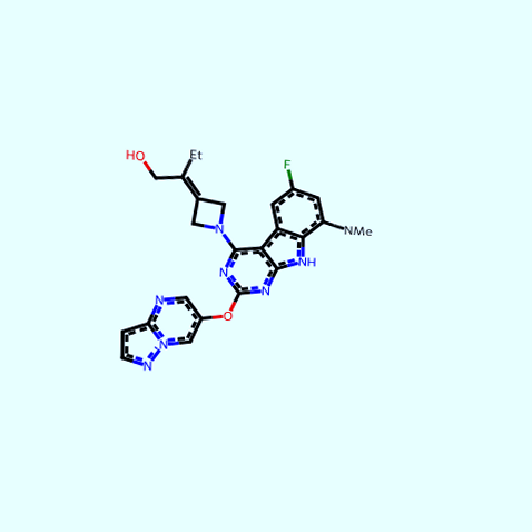 CCC(CO)=C1CN(c2nc(Oc3cnc4ccnn4c3)nc3[nH]c4c(NC)cc(F)cc4c23)C1